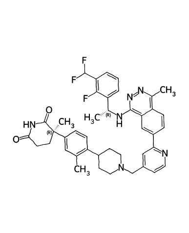 Cc1cc([C@@]2(C)CCC(=O)NC2=O)ccc1C1CCN(Cc2ccnc(-c3ccc4c(C)nnc(N[C@H](C)c5cccc(C(F)F)c5F)c4c3)c2)CC1